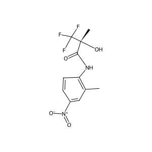 Cc1cc([N+](=O)[O-])ccc1NC(=O)[C@@](C)(O)C(F)(F)F